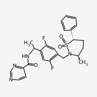 CC(NC(=O)c1ccncn1)c1cc(F)c(CN2[C@H](C)CC[C@@H](c3ccccc3)S2(=O)=O)cc1F